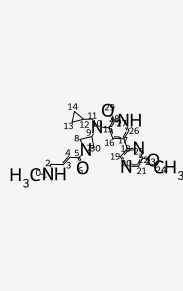 CNC/C=C/C(=O)N1CC(N(CC2CC2)c2cc(-c3cncc(OC)n3)c[nH]c2=O)C1